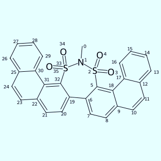 CN1S(=O)(=O)c2c(ccc3ccc4ccccc4c23)-c2ccc3ccc4ccccc4c3c2S1(=O)=O